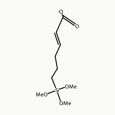 CO[Si](CCCC=CC([O])=O)(OC)OC